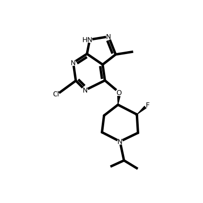 Cc1n[nH]c2nc(Cl)nc(O[C@@H]3CCN(C(C)C)C[C@@H]3F)c12